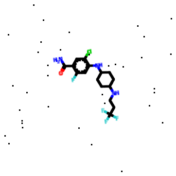 NC(=O)c1cc(Cl)c(NC2CCC(NCCC(F)(F)F)CC2)cc1F